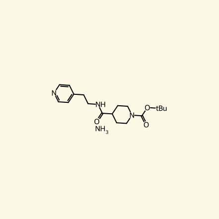 CC(C)(C)OC(=O)N1CCC(C(=O)NCCc2ccncc2)CC1.N